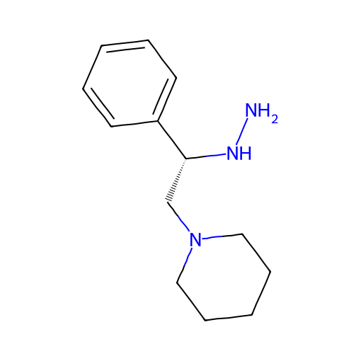 NN[C@H](CN1CCCCC1)c1ccccc1